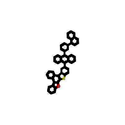 C1=CC(c2cccc3ccccc23)CC(c2c3ccccc3c(C3=CC=C4Sc5c(c6ccccc6c6c5oc5ccccc56)C4C3)c3ccccc23)=C1